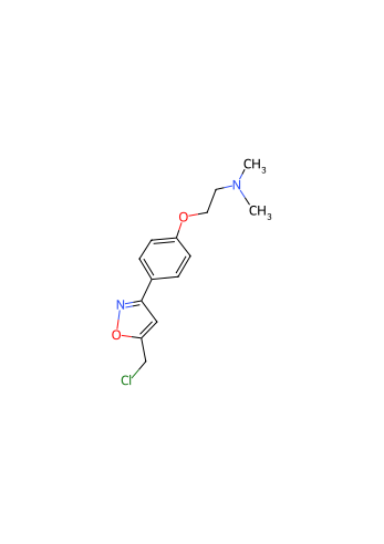 CN(C)CCOc1ccc(-c2cc(CCl)on2)cc1